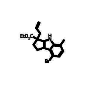 C=CCC1(C(=O)OCC)CCc2c1[nH]c1c(C)ccc(Br)c21